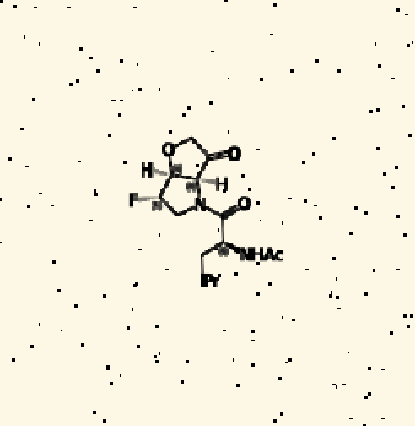 CC(=O)N[C@@H](CC(C)C)C(=O)N1C[C@H](F)[C@H]2OCC(=O)[C@H]21